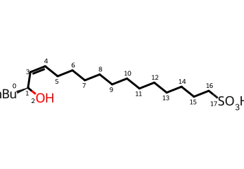 CCCC[C@H](O)/C=C\CCCCCCCCCCCCS(=O)(=O)O